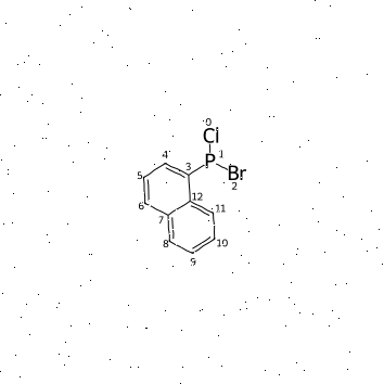 ClP(Br)c1cccc2ccccc12